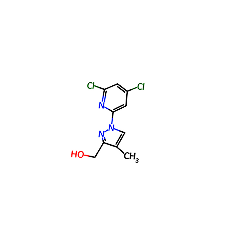 Cc1cn(-c2cc(Cl)cc(Cl)n2)nc1CO